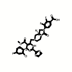 COC(=O)C1=C(CN2CCN3C(=O)N(c4ccc(C(=O)O)c(F)c4F)C[C@@H]3C2)NC(c2nccs2)=N[C@H]1c1ccc(F)cc1Cl